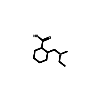 CCN(C)CC1CCCCC1C(=O)O